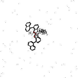 CC1=Cc2c(-c3cccc4ccccc34)cccc2[CH]1[Zr]([CH3])([CH3])(=[SiH2])[CH]1C(C(C)C)=Cc2c(-c3cccc4ccccc34)cccc21.Cl.Cl